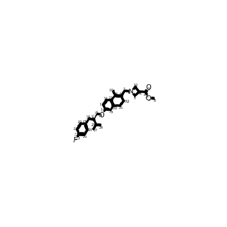 COC(=O)C1CN(CC2=C(C)c3ccc(OC[C@H](Cc4ccc(F)cc4)C(C)C)cc3CC2)C1